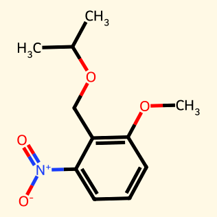 COc1cccc([N+](=O)[O-])c1COC(C)C